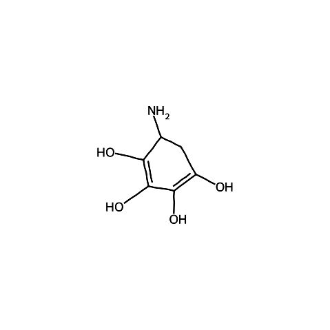 NC1CC(O)=C(O)C(O)=C1O